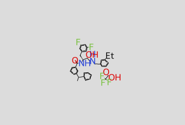 CCc1cccc(CNC[C@@H](O)[C@H](Cc2cc(F)cc(F)c2)NC(=O)c2cccc(C(C)c3ccccc3)c2)c1.O=C(O)C(F)(F)F